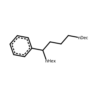 CCCCCCCCCCCCCC(CCCCCC)c1ccccc1